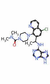 CC(Nc1ncnc2[nH]cnc12)c1cc(Cl)c2cccnc2c1N1CCN(C(=O)N(C)C)CC1